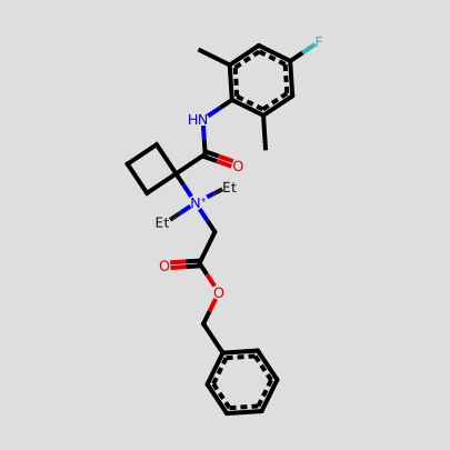 CC[N+](CC)(CC(=O)OCc1ccccc1)C1(C(=O)Nc2c(C)cc(F)cc2C)CCC1